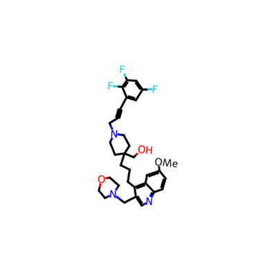 COc1ccc2ncc(CN3CCOCC3)c(CCCC3(CO)CCN(CC#Cc4cc(F)cc(F)c4F)CC3)c2c1